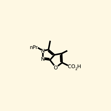 CCCn1nc2oc(C(=O)O)c(C)c2c1C